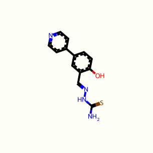 NC(=S)N/N=C/c1cc(-c2ccncc2)ccc1O